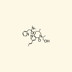 CC=Cc1cnc2c(c1)C(=O)N([C@@H](C)CO)C[C@H](C)[C@@H](CN(C)C(=O)Cc1ccccn1)O2